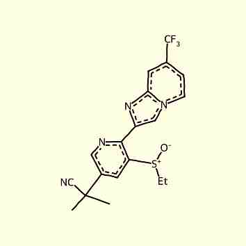 CC[S+]([O-])c1cc(C(C)(C)C#N)cnc1-c1cn2ccc(C(F)(F)F)cc2n1